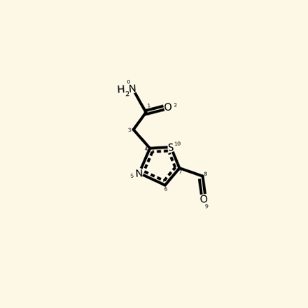 NC(=O)Cc1ncc(C=O)s1